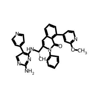 COc1cc(-c2cccc3cc([C@H](C)Nc4nc(N)ncc4-c4ccncc4)n(-c4ccccc4)c(=O)c23)ccn1